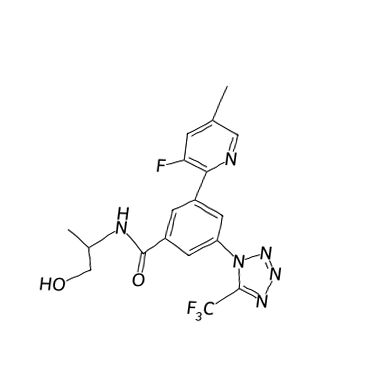 Cc1cnc(-c2cc(C(=O)NC(C)CO)cc(-n3nnnc3C(F)(F)F)c2)c(F)c1